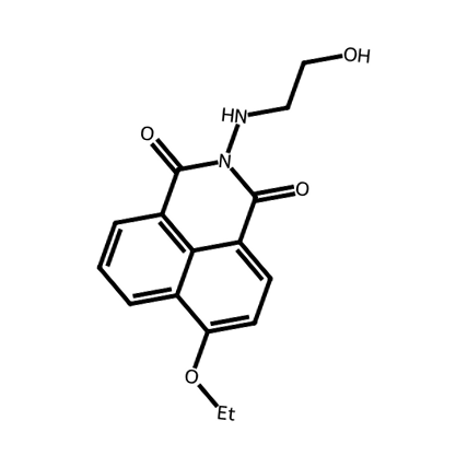 CCOc1ccc2c3c(cccc13)C(=O)N(NCCO)C2=O